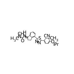 CC(C)OC1=CC=C(c2nnc(-c3cccc4c3CC[C@H]4NC(=O)N(C)C)s2)CC1(C)C#N